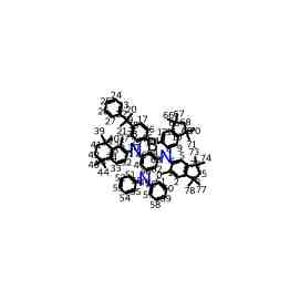 Cc1cc2c(cc1N1c3cc4c(cc3B3c5ccc(C(C)(C)c6ccccc6)cc5N(c5ccc6c(c5C)C(C)(C)CCC6(C)C)c5cc(N(c6ccccc6)c6ccccc6)cc1c53)C(C)(C)CC4(C)C)C(C)(C)CC2(C)C